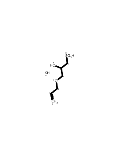 C=CCOCC(O)CS(=O)(=O)O.[KH]